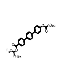 CCCCCCCCCCC(=O)Oc1ccc(-c2ccc(-c3ccc(C(=O)OC(CCCCCC)C(F)(F)F)cc3)cc2)cc1